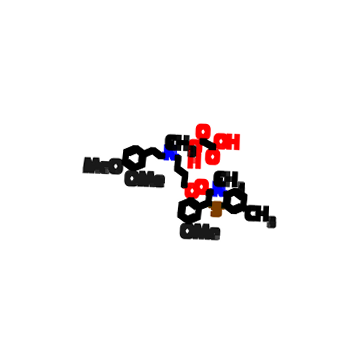 COc1ccc(OCCCCN(C)CCc2ccc(OC)c(OC)c2)c(C2Sc3cc(C)ccc3N(C)C2=O)c1.O=C(O)C(=O)O